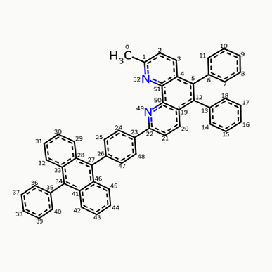 Cc1ccc2c(-c3ccccc3)c(-c3ccccc3)c3ccc(-c4ccc(-c5c6ccccc6c(-c6ccccc6)c6ccccc56)cc4)nc3c2n1